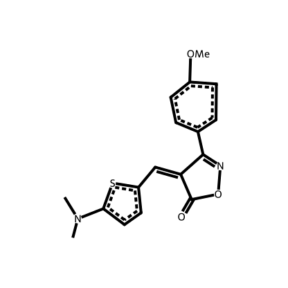 COc1ccc(C2=NOC(=O)C2=Cc2ccc(N(C)C)s2)cc1